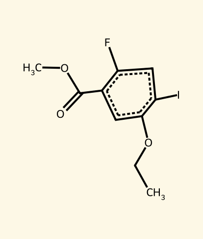 CCOc1cc(C(=O)OC)c(F)cc1I